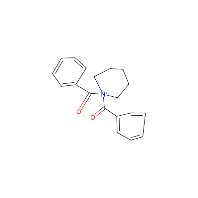 O=C(c1ccccc1)[N+]1(C(=O)c2ccccc2)CCCCC1